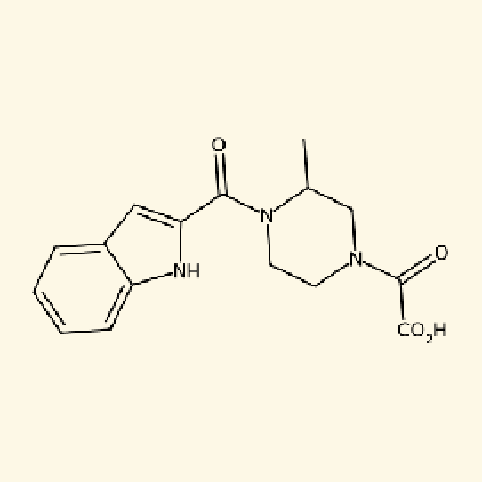 CC1CN(C(=O)C(=O)O)CCN1C(=O)c1cc2ccccc2[nH]1